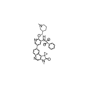 CN1CCCC(COc2ncc(-c3ccc4ncc5c(c4c3)C3(CC3)C(=O)N5C)cc2NS(=O)(=O)c2ccccc2)C1